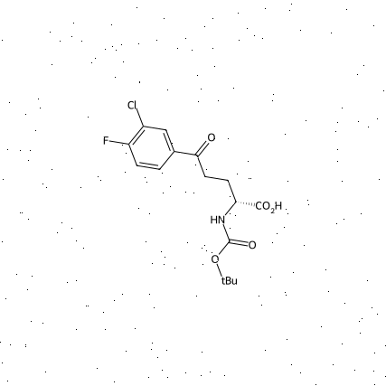 CC(C)(C)OC(=O)N[C@H](CCC(=O)c1ccc(F)c(Cl)c1)C(=O)O